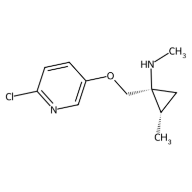 CN[C@@]1(COc2ccc(Cl)nc2)C[C@@H]1C